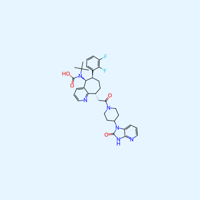 CC(C)(C)N(C(=O)O)[C@@H]1c2cccnc2[C@@H](CC(=O)N2CCC(n3c(=O)[nH]c4ncccc43)CC2)CC[C@@H]1c1cccc(F)c1F